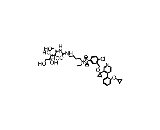 CCN(CCCCNC(=O)N[C@@H](CO)[C@@H](O)[C@H](O)[C@H](O)CO)S(=O)(=O)c1ccc(Cl)c(COC2(c3cnccc3-c3ccccc3OC3CC3)CC2)c1